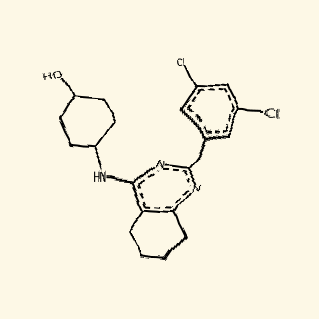 OC1CCC(Nc2nc(-c3cc(Cl)cc(Cl)c3)nc3c2CCCC3)CC1